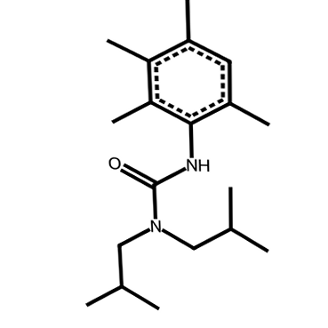 Cc1cc(C)c(NC(=O)N(CC(C)C)CC(C)C)c(C)c1C